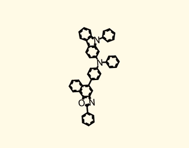 c1ccc(-c2nc3cc(-c4ccc(N(c5ccccc5)c5ccc6c7ccccc7n(-c7ccccc7)c6c5)cc4)c4ccccc4c3o2)cc1